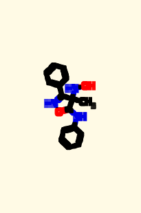 CC(NO)(C(=N)c1ccccc1)C(=O)Nc1ccccc1